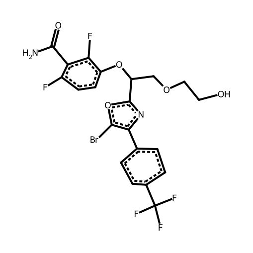 NC(=O)c1c(F)ccc(OC(COCCO)c2nc(-c3ccc(C(F)(F)F)cc3)c(Br)o2)c1F